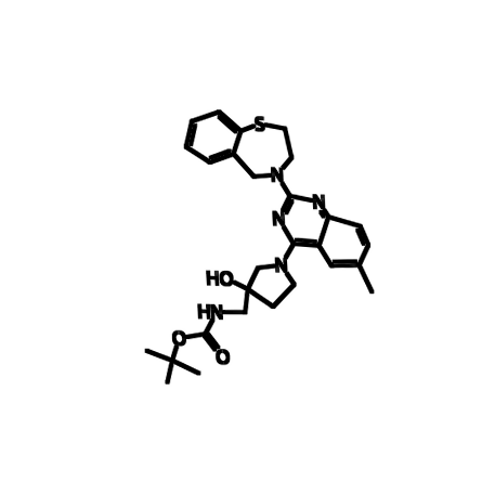 Cc1ccc2nc(N3CCSc4ccccc4C3)nc(N3CCC(O)(CNC(=O)OC(C)(C)C)C3)c2c1